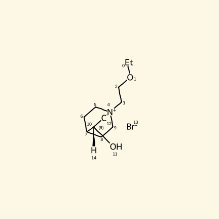 CCOCC[N+]12CCC(CC1)[C@@H](O)C2.[Br-]